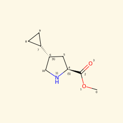 COC(=O)[C@@H]1C[C@@H](C2CC2)CN1